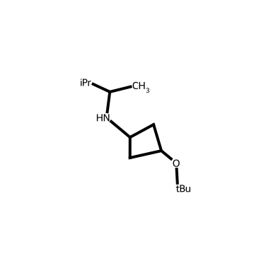 CC(C)C(C)NC1CC(OC(C)(C)C)C1